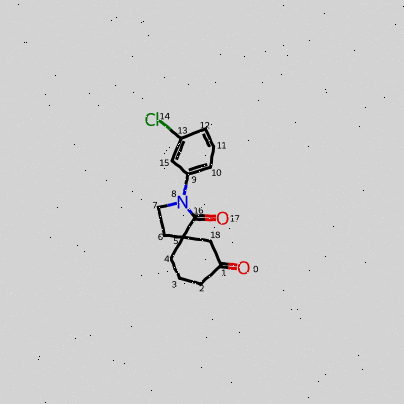 O=C1CCCC2(CCN(c3cccc(Cl)c3)C2=O)C1